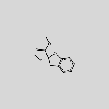 CC[C@@]1(C(=O)OC)Cc2ccccc2O1